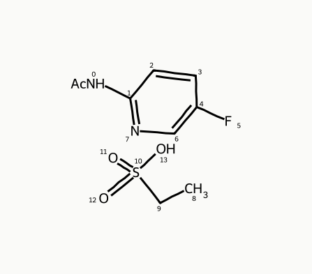 CC(=O)Nc1ccc(F)cn1.CCS(=O)(=O)O